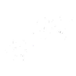 CCN1/C(=C/C=C2\CCC(/C=C/C3=[N+](CC)c4ccccc4C3(C)C)=C2Sc2ccccc2)C(C)(C)c2ccccc21